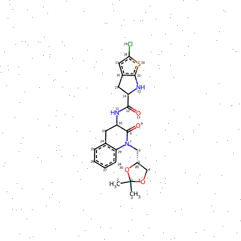 CC1(C)OC[C@@H](CN2C(=O)C(NC(=O)C3Cc4cc(Cl)sc4N3)Cc3ccccc32)O1